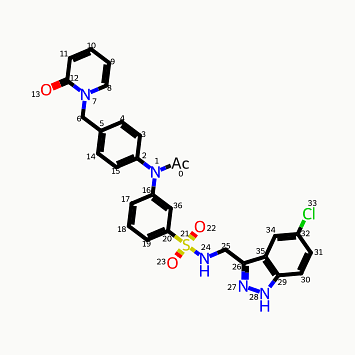 CC(=O)N(c1ccc(Cn2ccccc2=O)cc1)c1cccc(S(=O)(=O)NCc2n[nH]c3ccc(Cl)cc23)c1